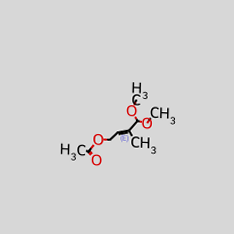 COC(OC)/C(C)=C/COC(C)=O